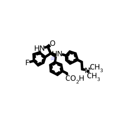 CN(C)CCc1ccc(N/C(=C2\C(=O)Nc3cc(F)ccc32)c2cccc(CC(=O)O)c2)cc1